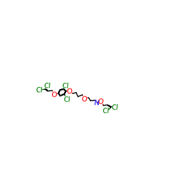 ClC(Cl)=CCO/N=C/CCOCCCCOc1c(Cl)cc(OCC=C(Cl)Cl)cc1Cl